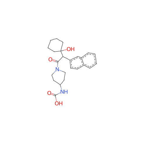 O=C(O)NC1CCN(C(=O)C(c2ccc3ccccc3c2)C2(O)CCCCC2)CC1